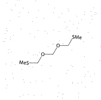 CSCOCOCSC